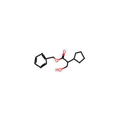 O=C(OCc1ccccc1)C(CO)C1CCCC1